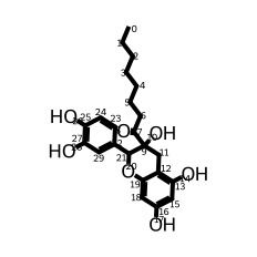 CCCCCCCC(=O)C1(O)Cc2c(O)cc(O)cc2OC1c1ccc(O)c(O)c1